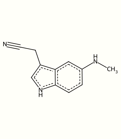 CNc1ccc2[nH]cc(CC#N)c2c1